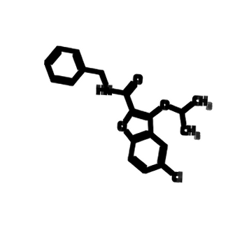 CC(C)Oc1c(C(=O)NCc2ccccc2)oc2ccc(Cl)cc12